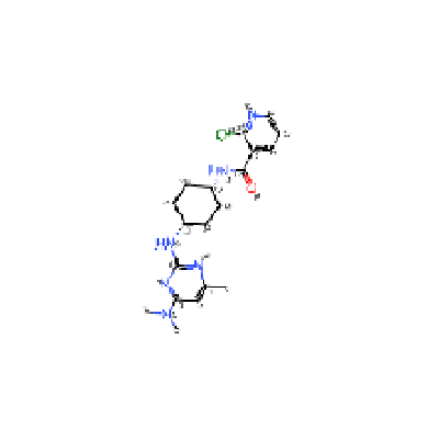 Cc1cc(N(C)C)nc(N[C@H]2CC[C@@H](NC(=O)c3cccnc3Cl)CC2)n1